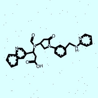 O=CN(C1CC(=O)N(c2cccc(CNc3ccccn3)c2)C1)C(CC(=O)O)c1cnc2ccccc2c1